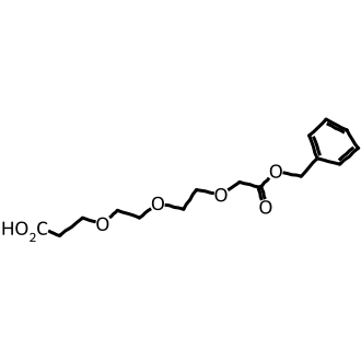 O=C(O)CCOCCOCCOCC(=O)OCc1ccccc1